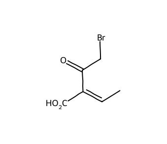 CC=C(C(=O)O)C(=O)CBr